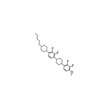 CCCCCC1CCC(c2ccc(C3CCC(c4ccc(OC)c(F)c4F)CC3)c(F)c2F)CC1